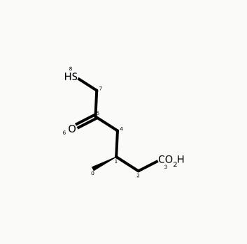 C[C@H](CC(=O)O)CC(=O)CS